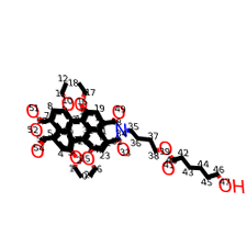 CCOc1cc2c3c(cc(OCC)c4c5c(OCC)cc6c7c(cc(OCC)c(c1c34)c75)C(=O)N(CCCCOC(=O)CCCCCO)C6=O)C(=O)OC2=O